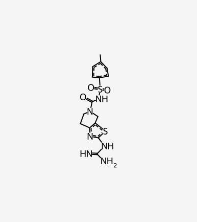 Cc1ccc(S(=O)(=O)NC(=O)N2CCc3nc(NC(=N)N)sc3C2)cc1